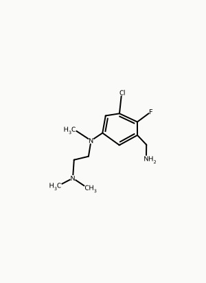 CN(C)CCN(C)c1cc(Cl)c(F)c(CN)c1